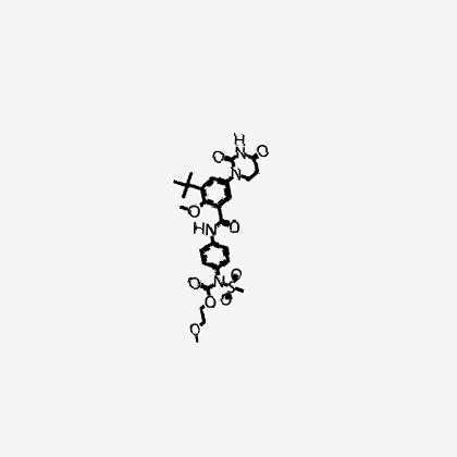 COCCOC(=O)N(c1ccc(NC(=O)c2cc(N3CCC(=O)NC3=O)cc(C(C)(C)C)c2OC)cc1)S(C)(=O)=O